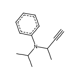 C#CC(C)N(c1ccccc1)C(C)C